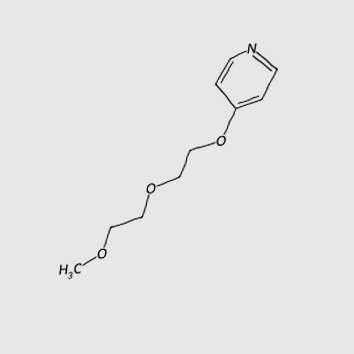 COCCOCCOc1ccncc1